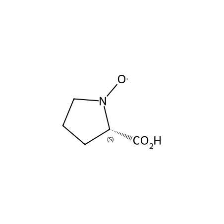 [O]N1CCC[C@H]1C(=O)O